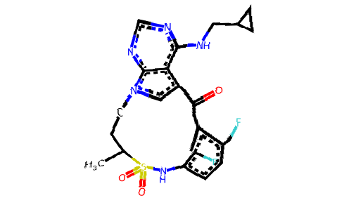 CC1CCn2cc(c3c(NCC4CC4)ncnc32)C(=O)c2c(F)ccc(c2F)NS1(=O)=O